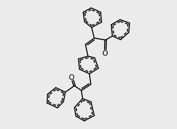 O=C(C(=Cc1ccc(C=C(C(=O)c2ccccc2)c2ccccc2)cc1)c1ccccc1)c1ccccc1